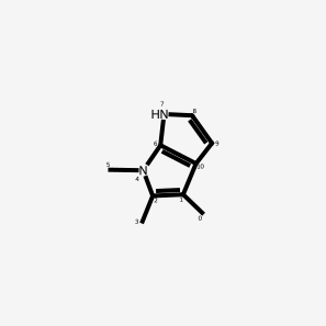 Cc1c(C)n(C)c2[nH]ccc12